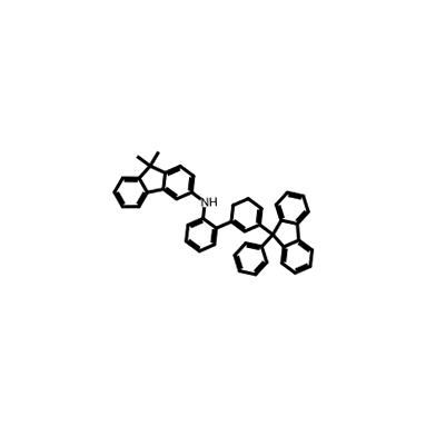 CC1(C)c2ccccc2-c2cc(Nc3ccccc3C3=CC(C4(c5ccccc5)c5ccccc5-c5ccccc54)=CCC3)ccc21